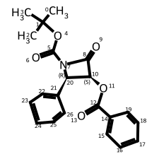 CC(C)(C)OC(=O)N1C(=O)[C@@H](OC(=O)c2ccccc2)[C@H]1c1ccccc1